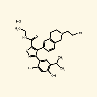 CCNC(=O)c1onc(-c2cc(C(C)C)c(O)cc2O)c1-c1ccc2c(c1)CCN(CCO)C2.Cl